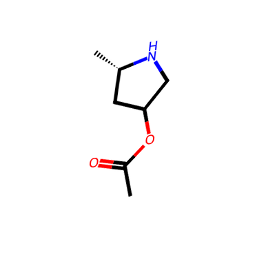 CC(=O)OC1CN[C@@H](C)C1